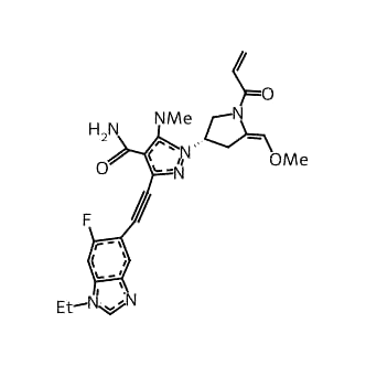 C=CC(=O)N1C[C@@H](n2nc(C#Cc3cc4ncn(CC)c4cc3F)c(C(N)=O)c2NC)C/C1=C\OC